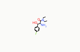 CCN(CC)C(=O)C(N)C(O)c1ccc(F)cc1